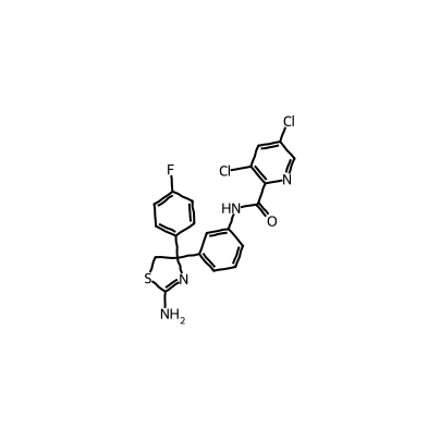 NC1=NC(c2ccc(F)cc2)(c2cccc(NC(=O)c3ncc(Cl)cc3Cl)c2)CS1